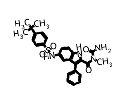 CN(C(N)=O)C(=O)c1[nH]c2ccc(NS(=O)(=O)c3ccc(C(C)(C)C)cc3)cc2c1-c1ccccc1